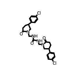 O=C(NCN1CC(c2ccc(Cl)cc2)CCC1=O)NCN1CC(c2ccc(Cl)cc2)CCC1=O